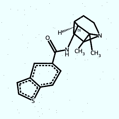 CC1(C)[C@@H](NC(=O)c2ccc3sccc3c2)C2CCN1CC2